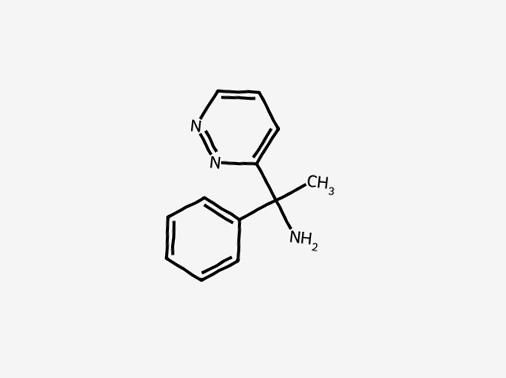 CC(N)(c1ccccc1)c1cccnn1